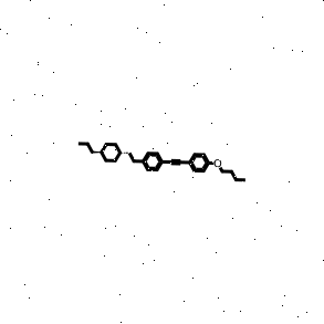 CCCCOc1ccc(C#Cc2ccc(CC[C@H]3CC[C@H](CCC)CC3)cc2)cc1